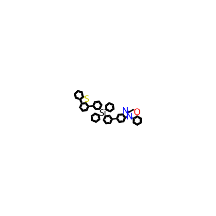 c1ccc([Si](c2ccccc2)(c2cccc(-c3ccc4c(c3)nc3n4-c4ccccc4OC3)c2)c2cccc(-c3cccc4c3sc3ccccc34)c2)cc1